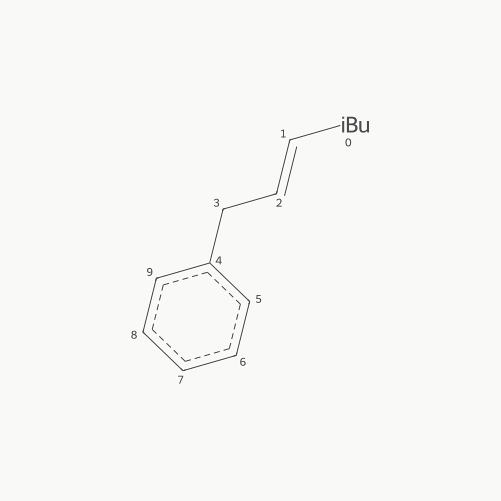 CCC(C)C=CCc1ccccc1